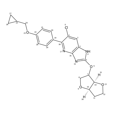 Clc1cc2[nH]c(OC3CO[C@@H]4CCO[C@H]34)nc2nc1-c1ccc(OCC2CC2)cc1